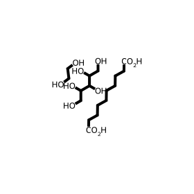 O=C(O)CCCCCCCCC(=O)O.OCC(O)C(O)C(O)CO.OCCO